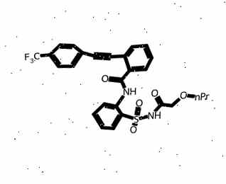 CCCOCC(=O)NS(=O)(=O)c1ccccc1NC(=O)c1ccccc1C#Cc1ccc(C(F)(F)F)cc1